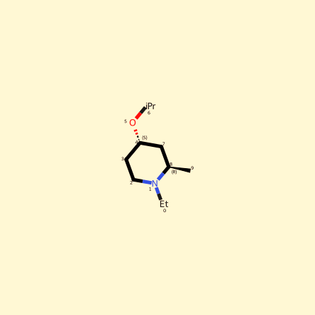 CCN1CC[C@H](OC(C)C)C[C@H]1C